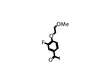 COCCOc1ccc(C(=O)I)cc1F